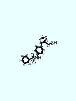 O=S(=O)(Nc1ccc(-c2ncsc2CS)cc1)c1ccccc1